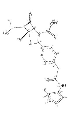 C[C@@H](O)[C@H]1C(=O)N2C(C(=O)O)=C(c3ccc(CC(=O)Nc4nccn4C)cc3)C[C@H]12